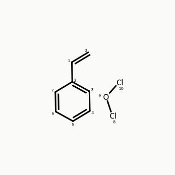 C=Cc1ccccc1.ClOCl